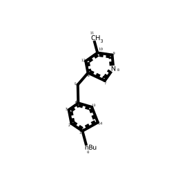 CCCCc1ccc(Cc2cncc(C)c2)cc1